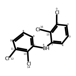 Clc1cccc(Bc2cccc(Cl)c2Cl)c1Cl